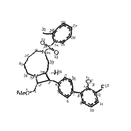 COCC1C(c2ccc(-c3cccc(F)c3C(F)(F)F)cc2)[C@@H]2CN(S(=O)(=O)c3ccccc3C)CCCCN12